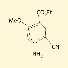 CCOC(=O)c1cc(C#N)c(N)cc1OC